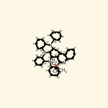 CS(C)(C)c1nc2ccccc2c2cc3c4c(c12)N(c1ccccc1)c1ccccc1B4c1ccccc1N3c1ccccc1